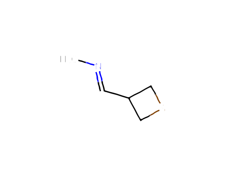 C/N=C/C1CSC1